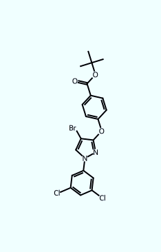 CC(C)(C)OC(=O)c1ccc(Oc2nn(-c3cc(Cl)cc(Cl)c3)cc2Br)cc1